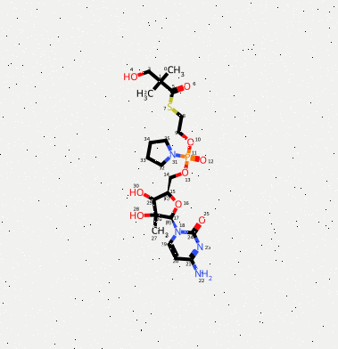 CC(C)(CO)C(=O)SCCOP(=O)(OC[C@H]1O[C@@H](n2ccc(N)nc2=O)C(C)(O)C1O)N1CCCC1